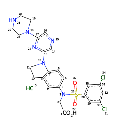 Cl.O=C(O)CN(c1ccc2c(c1)CCN2c1cncc(N2CCNCC2)n1)S(=O)(=O)c1cc(Cl)cc(Cl)c1